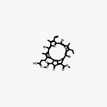 C=CC1=C(C)c2nc1c(Br)c1[nH]c(c(Br)c3nc4c(c5[nH]c(c(C)c5CCC(=O)O)c2Br)C(C(=O)OC)C(=O)C4=C3C(=O)OC)c(CC)c1C